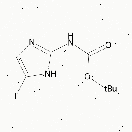 CC(C)(C)OC(=O)Nc1ncc(I)[nH]1